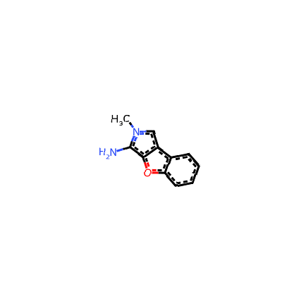 Cn1cc2c(oc3ccccc32)c1N